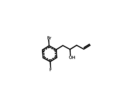 C=CCC(O)Cc1cc(F)ccc1Br